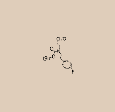 CC(C)(C)OC(=O)N(CCC=O)CCc1ccc(F)cc1